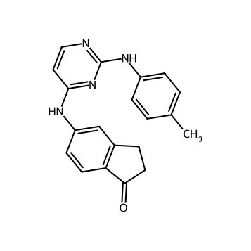 Cc1ccc(Nc2nccc(Nc3ccc4c(c3)CCC4=O)n2)cc1